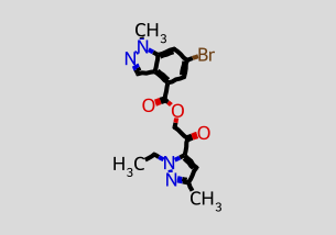 CCn1nc(C)cc1C(=O)COC(=O)c1cc(Br)cc2c1cnn2C